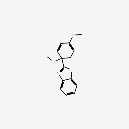 CNC1=CCC(NC)(c2nc3ccccc3s2)C=C1